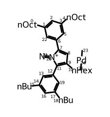 CCCCCCCCc1cc(CCCCCCCC)cc(C2=CC(CCCCCC)=C(c3cc(CCCC)cc(CCCC)c3)[N+]2=[N-])c1.[CH3][Pd][CH3]